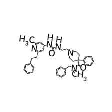 Cc1cc(NC(=O)NCCN2CCC(C(=O)N(C)Cc3ccccc3)(c3ccccc3)CC2)cc(CCc2ccccc2)n1